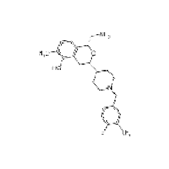 Cc1ccc2c(c1O)C[C@@H](C1CCN(Cc3ccc(F)c(C(F)(F)F)c3)CC1)O[C@H]2CN